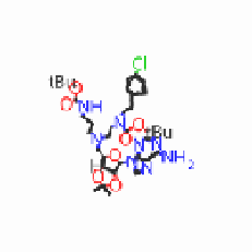 CC(C)(C)OC(=O)NCCCN(CCN(CCc1ccc(Cl)cc1)C(=O)OC(C)(C)C)C[C@H]1O[C@@H](n2cnc3c(N)ncnc32)C2OC(C)(C)O[C@@H]21